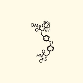 COC(=O)C(Cc1ccc(Oc2ccc(CC3SC(=O)NC3=O)cc2)cc1)NC(=O)OC(C)(C)C